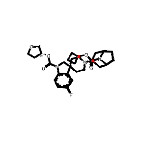 O=C(O[C@@H]1CCOC1)N1CC2(CCN(C3CC4CCC(C3)N4C(=O)OC3CCC3)CC2)c2cc(F)ccc21